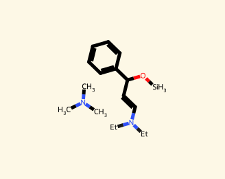 CCN(C=CC(O[SiH3])c1ccccc1)CC.CN(C)C